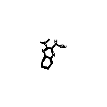 CP(C)c1nc2ccccc2nc1PC(C)(C)C